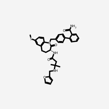 CSc1ccc2c(c1)CC[C@@H](NC(=O)CC(C)(C)NCc1ccco1)C(=O)N2Cc1ccc(-c2ccccc2C(N)=O)cc1